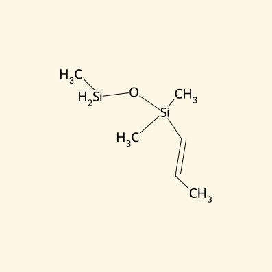 CC=C[Si](C)(C)O[SiH2]C